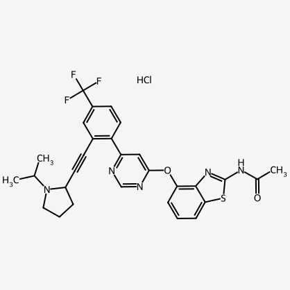 CC(=O)Nc1nc2c(Oc3cc(-c4ccc(C(F)(F)F)cc4C#CC4CCCN4C(C)C)ncn3)cccc2s1.Cl